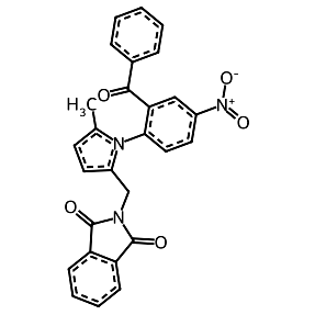 Cc1ccc(CN2C(=O)c3ccccc3C2=O)n1-c1ccc([N+](=O)[O-])cc1C(=O)c1ccccc1